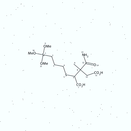 CO[Si](CCCSC(C(=O)O)C(C)(CC(=O)O)C(N)=O)(OC)OC